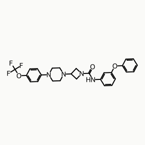 O=C(Nc1cccc(Oc2ccccc2)c1)N1CC(N2CCN(c3ccc(OC(F)(F)F)cc3)CC2)C1